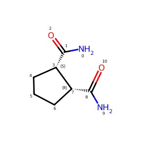 NC(=O)[C@H]1CCC[C@H]1C(N)=O